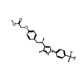 COC(=O)COc1ccc(C[C@@H](C)c2cn(-c3ccc(C(F)(F)F)cc3)nc2C)cc1